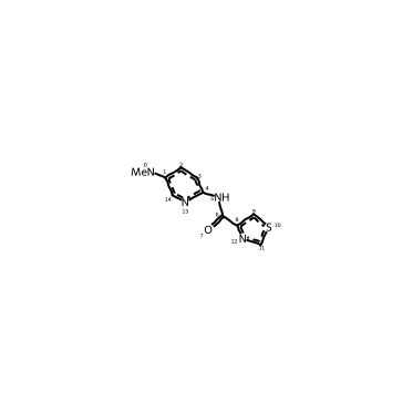 CNc1ccc(NC(=O)c2cscn2)nc1